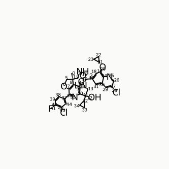 C[C@]1(C(N)=O)COc2c1cc(C(O)(CNC(=O)c1cc(OC3CC3)c3ncc(Cl)cc3c1)C1CC1)nc2-c1ccc(F)c(Cl)c1